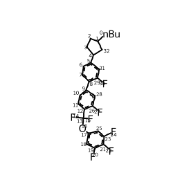 CCCCC1CCC(c2ccc(-c3ccc(C(F)(F)Oc4cc(F)c(F)c(F)c4)c(F)c3)c(F)c2)C1